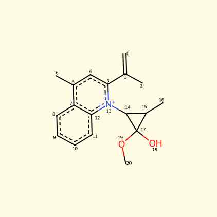 C=C(C)c1cc(C)c2ccccc2[n+]1C1C(C)C1(O)OC